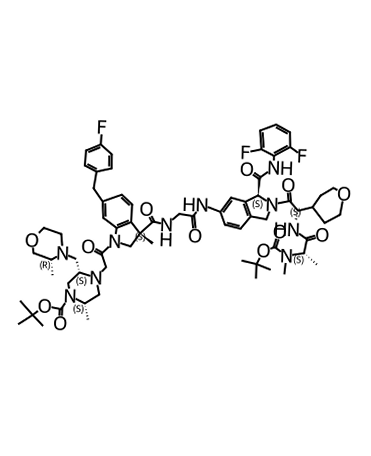 C[C@@H]1COCCN1C[C@H]1CN(C(=O)OC(C)(C)C)[C@@H](C)CN1CC(=O)N1C[C@@](C)(C(=O)NCC(=O)Nc2ccc3c(c2)[C@@H](C(=O)Nc2c(F)cccc2F)N(C(=O)[C@@H](NC(=O)[C@H](C)N(C)C(=O)OC(C)(C)C)C2CCOCC2)C3)c2ccc(Cc3ccc(F)cc3)cc21